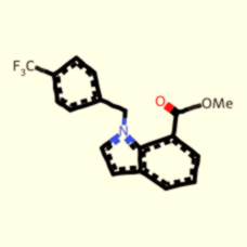 COC(=O)c1cccc2ccn(Cc3ccc(C(F)(F)F)cc3)c12